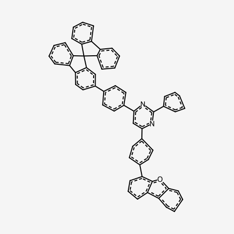 c1ccc(-c2nc(-c3ccc(-c4ccc5c(c4)C4(c6ccccc6-c6ccccc64)c4ccccc4-5)cc3)cc(-c3ccc(-c4cccc5c4oc4ccccc45)cc3)n2)cc1